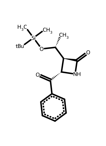 C[C@@H](O[Si](C)(C)C(C)(C)C)[C@H]1C(=O)N[C@@H]1C(=O)c1ccccc1